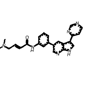 CN(C)CC=CC(=O)Nc1cccc(-c2cnc3[nH]cc(-c4ccncn4)c3c2)c1